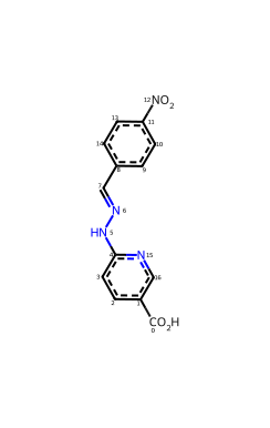 O=C(O)c1ccc(N/N=C/c2ccc([N+](=O)[O-])cc2)nc1